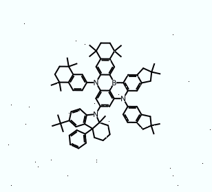 CC1(C)Cc2ccc(N3c4cc5c(cc4B4c6cc7c(cc6N(c6ccc8c(c6)C(C)(C)CCC8(C)C)c6cc(N8c9ccc(C(C)(C)C)cc9C9(c%10ccccc%10)CCCCC89C)cc3c64)C(C)(C)CCC7(C)C)CC(C)(C)C5)cc2C1